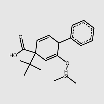 C[SiH](C)OC1=CC(C(=O)O)(C(C)(C)C)C=CC1c1ccccc1